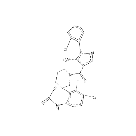 Nc1c(C(=O)N2CCC[C@@]3(C2)OC(=O)Nc2ccc(Cl)c(F)c23)cnn1-c1ccccc1Cl